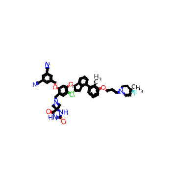 Cc1c(OCCCN2CCC(C)(F)CC2)cccc1-c1cccc2c1CC[C@@H]2Oc1cc(OCc2cc(C#N)cc(C#N)c2)c(CN2CC3(C2)NC(=O)NC3=O)cc1Cl